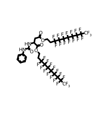 O=C(Nc1ccccc1)NC(CC(=O)OCCC(F)(F)C(F)(F)C(F)(F)C(F)(F)C(F)(F)C(F)(F)C(F)(F)C(F)(F)F)C(=O)OCCC(F)(F)C(F)(F)C(F)(F)C(F)(F)C(F)(F)C(F)(F)C(F)(F)C(F)(F)F